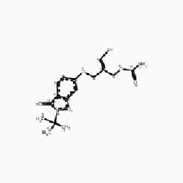 CC(C)(C)n1oc2cc(OCC(=CF)COC(N)=O)ccc2c1=O